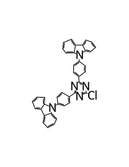 Clc1nc(-c2ccc(-n3c4ccccc4c4ccccc43)cc2)nc(-c2ccc(-n3c4ccccc4c4ccccc43)cc2)n1